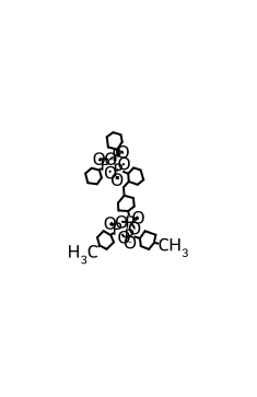 CC1CCC(P2(=O)OP(=O)(C3CCC(C)CC3)OP(=O)(C3CCC(CC4CCCCC4P4(=O)OP(=O)(C5CCCCC5)OP(=O)(C5CCCCC5)O4)CC3)O2)CC1